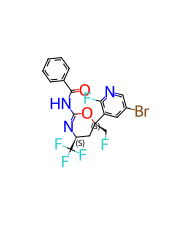 O=C(NC1=N[C@H](C(F)(F)F)C[C@@](CF)(c2cc(Br)cnc2F)O1)c1ccccc1